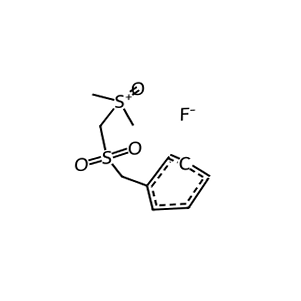 C[S+](C)(=O)CS(=O)(=O)Cc1ccccc1.[F-]